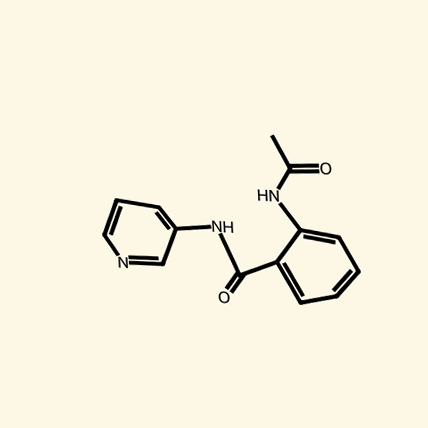 CC(=O)Nc1ccccc1C(=O)Nc1cccnc1